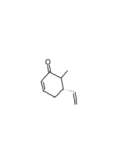 C=C[C@@H]1CC=CC(=O)C1C